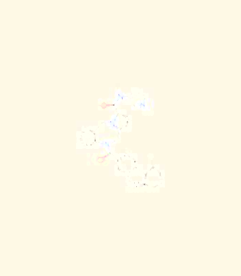 COc1cc(C(=O)N2Cc3ccc(C(=O)N(C)C4CCN(C)C4)n3Cc3ccccc32)ccc1-c1ccccc1C